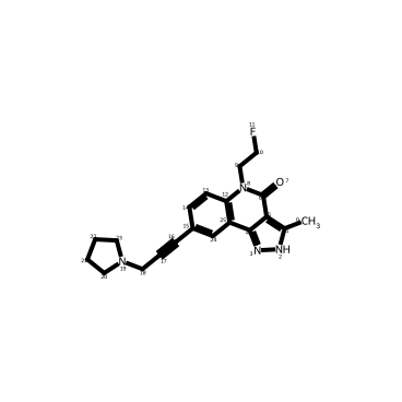 Cc1[nH]nc2c1c(=O)n(CCF)c1ccc(C#CCN3CCCC3)cc21